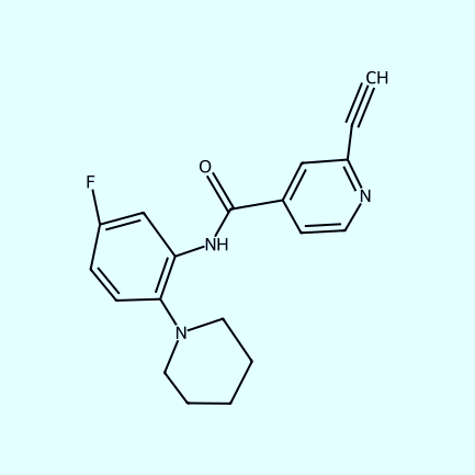 C#Cc1cc(C(=O)Nc2cc(F)ccc2N2CCCCC2)ccn1